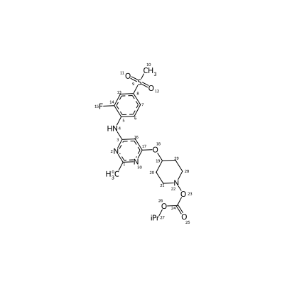 Cc1nc(Nc2ccc(S(C)(=O)=O)cc2F)cc(OC2CCN(OC(=O)OC(C)C)CC2)n1